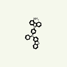 Nc1cccc2c1c1c(n2-c2ccc(N(c3ccc4c(c3)C3C=CC=CC3S4)C3CC=CCC3)cc2)C=CCC1